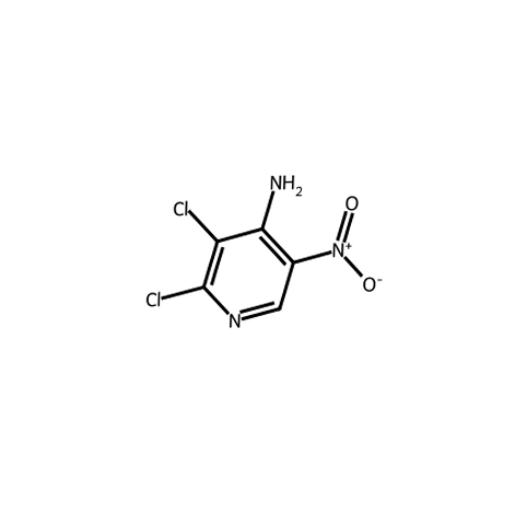 Nc1c([N+](=O)[O-])cnc(Cl)c1Cl